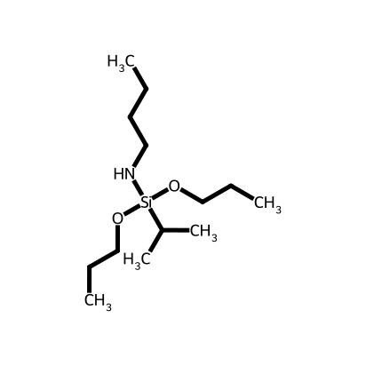 CCCCN[Si](OCCC)(OCCC)C(C)C